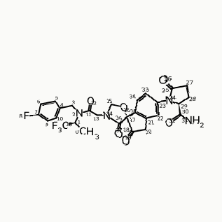 C[C@H](N(Cc1ccc(F)cc1)C(=O)CN1CO[C@]2(C(=O)Cc3cc(N4C(=O)CC[C@H]4C(N)=O)ccc32)C1=O)C(F)(F)F